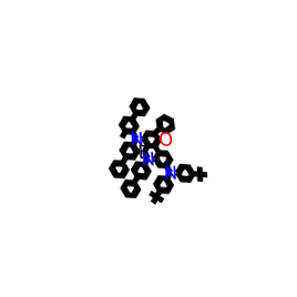 Cc1ccc(-c2ccccc2)cc1N1c2ccc(-c3ccccc3)cc2B2c3c1cc1c(oc4ccccc41)c3-c1ccc(N(c3ccc(C(C)(C)C)cc3)c3ccc(C(C)(C)C)cc3)cc1N2c1ccc(-c2ccccc2)cc1